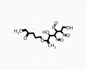 C=CC(=O)CCCOC(=C)C(O)C(N=O)C(N=O)C(CO)N=O